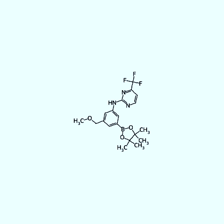 COCc1cc(Nc2nccc(C(F)(F)F)n2)cc(B2OC(C)(C)C(C)(C)O2)c1